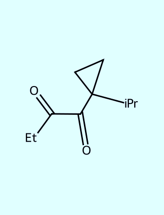 CCC(=O)C(=O)C1(C(C)C)CC1